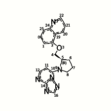 c1cc(OC[C@H]2CCCN2c2ccnc3ncnn23)c2cccnc2c1